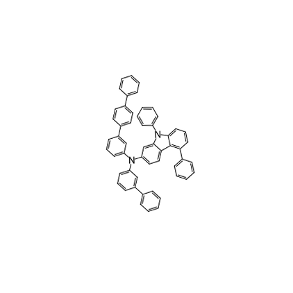 c1ccc(-c2ccc(-c3cccc(N(c4cccc(-c5ccccc5)c4)c4ccc5c6c(-c7ccccc7)cccc6n(-c6ccccc6)c5c4)c3)cc2)cc1